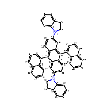 c1ccc2c(c1)CCN2c1ccc2c(-c3cccc4ccccc34)c3cc(N4CCc5ccccc54)ccc3c(-c3cccc4ccccc34)c2c1